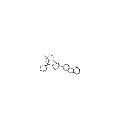 CC1(C)CCC2c3cc(-c4ccc5c(c4)Cc4ccccc4-5)ccc3N(c3ccccc3)C21C